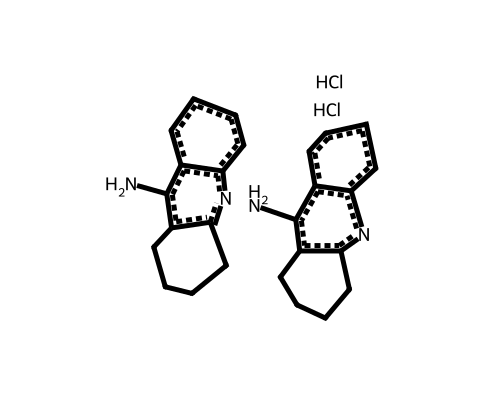 Cl.Cl.Nc1c2c(nc3ccccc13)CCCC2.Nc1c2c(nc3ccccc13)CCCC2